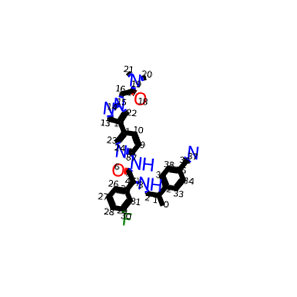 CC(CN[C@H](C(=O)Nc1ccc(-c2cnn(CC(=O)N(C)C)c2)cn1)c1cccc(F)c1)c1ccc(C#N)cc1